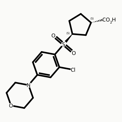 O=C(O)[C@H]1CC[C@H](S(=O)(=O)c2ccc(N3CCOCC3)cc2Cl)C1